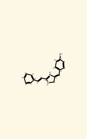 Fc1ccc(/C=C2/COC(/C=C/c3ccccc3)=N2)cc1